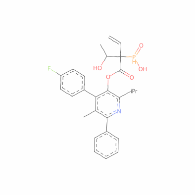 C=CC(C(=O)Oc1c(C(C)C)nc(-c2ccccc2)c(C)c1-c1ccc(F)cc1)(C(C)O)[PH](=O)O